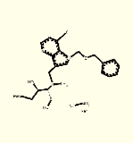 CSC[C@@H](O)[C@@H](CO)N(C)Cc1cn(COCc2ccccc2)c2c(Cl)ncnc12.[BH3-]C#N.[Na+]